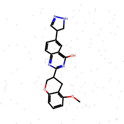 COc1cccc2c1CC(c1nc(O)c3cc(C4C=NNC4)ccc3n1)CO2